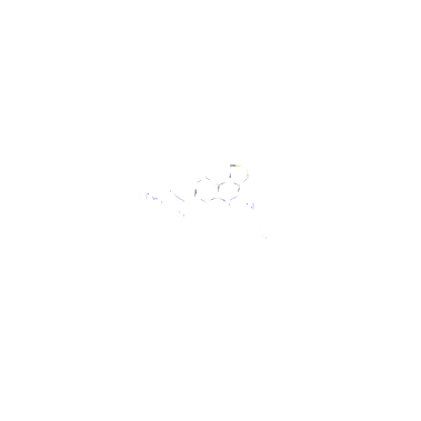 CCN1CCCC1CNc1nc2cc(/C(=N/N=N)NC)ccc2c2cscc12